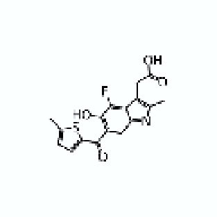 CC1=C(CC(=O)O)C2=C(F)C(O)=C(C(=O)c3ccc(C)s3)CC2=N1